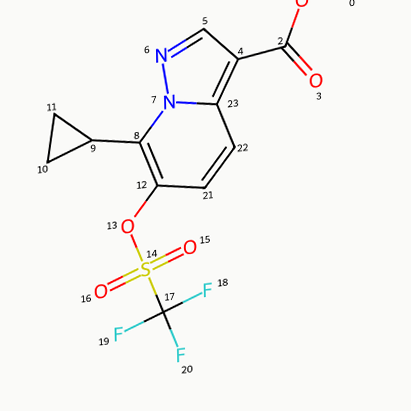 COC(=O)c1cnn2c(C3CC3)c(OS(=O)(=O)C(F)(F)F)ccc12